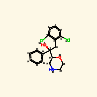 O[C@](Cc1c(Cl)cccc1Cl)(c1ccccc1)[C@@H]1CNCCO1